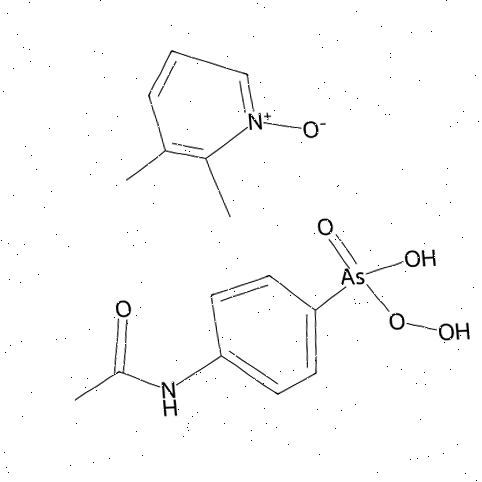 CC(=O)Nc1ccc([As](=O)(O)OO)cc1.Cc1ccc[n+]([O-])c1C